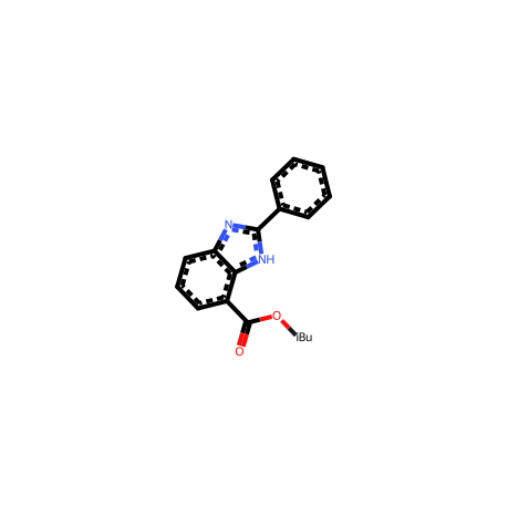 CCC(C)OC(=O)c1cccc2nc(-c3ccccc3)[nH]c12